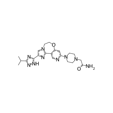 CC(C)c1n[nH]c(-c2cn3c(n2)-c2cnc(N4CCN(CC(N)=O)CC4)cc2OCC3)n1